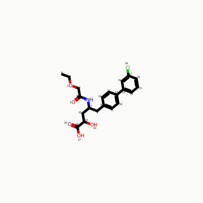 CCOCC(=O)NC(Cc1ccc(-c2cccc(Cl)c2)cc1)CC(O)C(=O)O